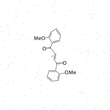 COc1ccccc1C(=O)/C=C/C(=O)c1ccccc1OC